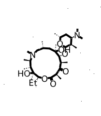 CC[C@H]1OC(=O)[C@H](C)C(=O)[C@H](C)[C@@H](O[C@@H]2O[C@H](C)C[C@H](N(C)C)[C@H]2C)[C@](C)(O)C[C@@H](C)CN(C)[C@H](C)[C@@H](C)[C@]1(C)O